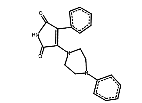 O=C1NC(=O)C(N2CCN(c3ccccc3)CC2)=C1c1ccccc1